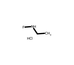 CCNF.Cl